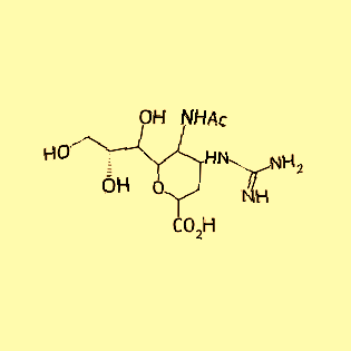 CC(=O)NC1C(NC(=N)N)CC(C(=O)O)OC1C(O)[C@H](O)CO